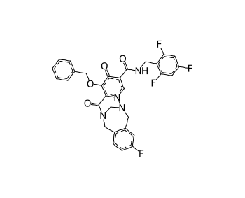 O=C(NCc1c(F)cc(F)cc1F)c1cn2c(c(OCc3ccccc3)c1=O)C(=O)N1Cc3ccc(F)cc3CN2C1